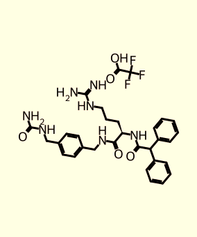 N=C(N)NCCC[C@@H](NC(=O)C(c1ccccc1)c1ccccc1)C(=O)NCc1ccc(CNC(N)=O)cc1.O=C(O)C(F)(F)F